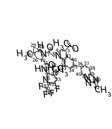 CC(=O)c1cn(CC(=O)N2[C@H](C(=O)Nc3nc(C(F)(F)F)c(F)cc3C)C[C@@]3(C)C[C@@H]23)c2c(C)cc(-c3ccc4nc(C)nn4c3)cc12